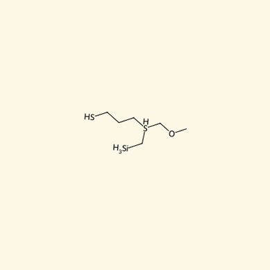 COC[SH](C[SiH3])CCCS